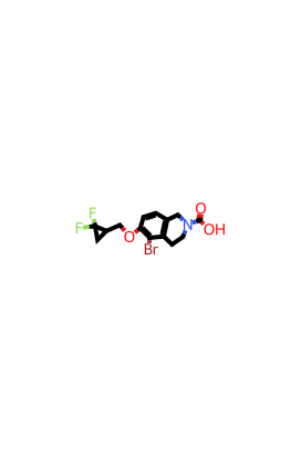 O=C(O)N1CCc2c(ccc(OCC3CC3(F)F)c2Br)C1